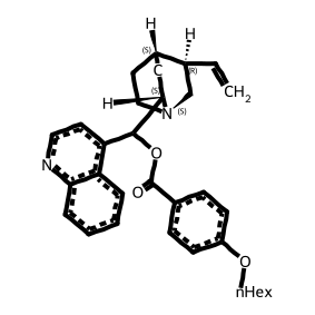 C=C[C@H]1C[N@@]2CC[C@H]1C[C@H]2C(OC(=O)c1ccc(OCCCCCC)cc1)c1ccnc2ccccc12